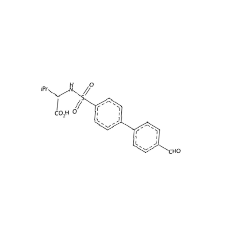 CC(C)C(NS(=O)(=O)c1ccc(-c2ccc(C=O)cc2)cc1)C(=O)O